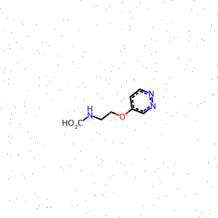 O=C(O)NCCOc1ccnnc1